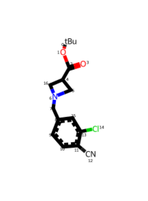 CC(C)(C)OC(=O)C1CN(Cc2ccc(C#N)c(Cl)c2)C1